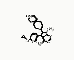 Cn1c(C2=CCC3(CCNCC3)CC2)c(-c2ccc(OC3CC3)nc2)c2c(N)ncnc21